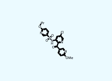 COc1ccc(C(=O)c2ncc(Cl)cc2NS(=O)(=O)c2ccc(OC(C)C)nc2)cn1